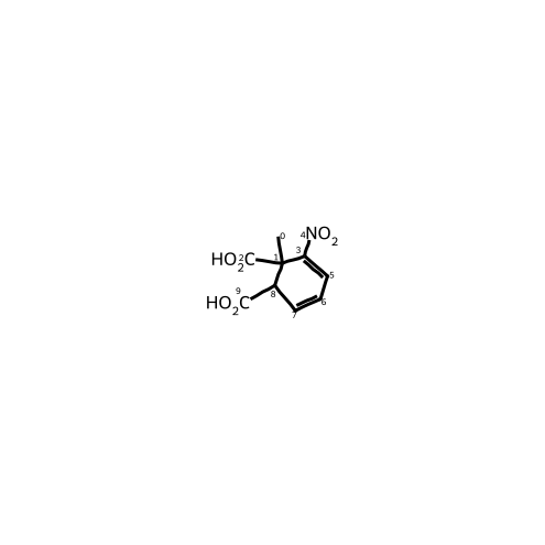 CC1(C(=O)O)C([N+](=O)[O-])=CC=CC1C(=O)O